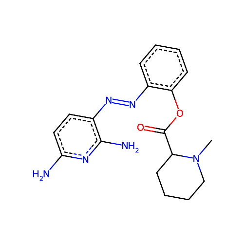 CN1CCCCC1C(=O)Oc1ccccc1/N=N/c1ccc(N)nc1N